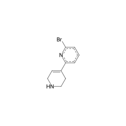 Brc1cccc(C2=CCNCC2)n1